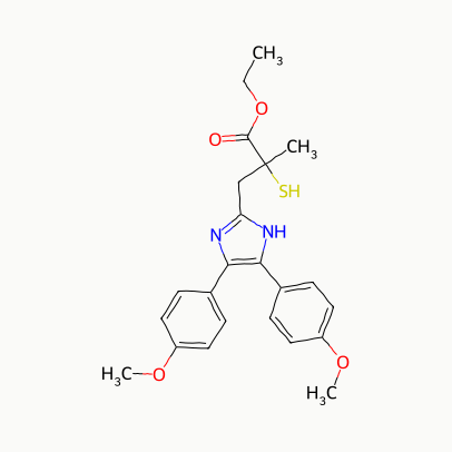 CCOC(=O)C(C)(S)Cc1nc(-c2ccc(OC)cc2)c(-c2ccc(OC)cc2)[nH]1